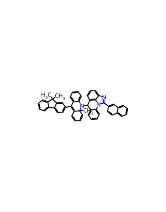 CC1(C)c2ccccc2-c2ccc(C3=C4C=CC=CC4(C)N(C4c5ccccc5-n5c(-c6ccc7ccccc7c6)nc6cccc4c65)c4ccccc43)cc21